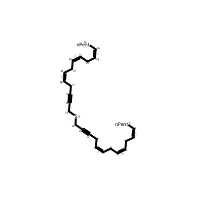 CCCCC/C=C\C/C=C\C/C=C\CC#CCSCC#CC/C=C\C/C=C\C/C=C\CCCCC